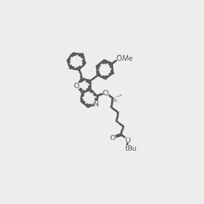 COc1ccc(-c2c(-c3ccccc3)oc3ccnc(O[C@H](C)CCCCC(=O)OC(C)(C)C)c23)cc1